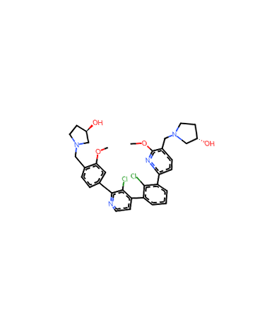 COc1cc(-c2nccc(-c3cccc(-c4ccc(CN5CC[C@H](O)C5)c(OC)n4)c3Cl)c2Cl)ccc1CN1CC[C@@H](O)C1